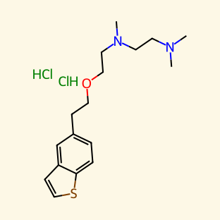 CN(C)CCN(C)CCOCCc1ccc2sccc2c1.Cl.Cl